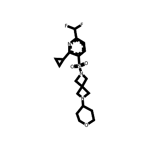 O=S(=O)(c1ccc(C(F)F)nc1C1CC1)N1CC2(CN(C3CCOCC3)C2)C1